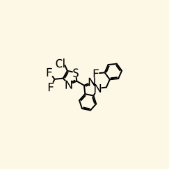 Fc1ccccc1Cn1nc(-c2nc(C(F)F)c(Cl)s2)c2ccccc21